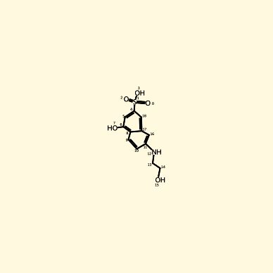 O=S(=O)(O)c1cc(O)c2ccc(NCCO)cc2c1